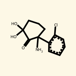 NC1(c2ccccc2Cl)CCCC(O)(O)C1=O